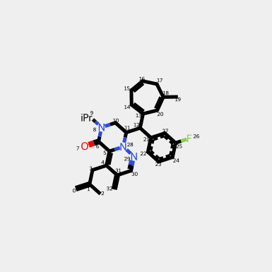 C=C(C)CC1=C2C(=O)N(C(C)C)CC(C(C3=CC=CCC(C)=C3)c3cccc(F)c3)N2N=CC1=C